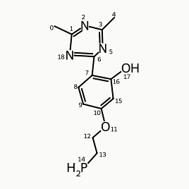 Cc1nc(C)nc(-c2ccc(OCCP)cc2O)n1